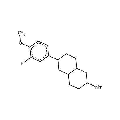 CCCC1CCC2CC(c3ccc(OC(F)(F)F)c(F)c3)CCC2C1